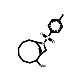 CCCCC1CCCCCCC2C=C1CN2S(=O)(=O)c1ccc(C)cc1